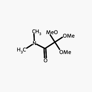 COC(OC)(OC)C(=O)N(C)C